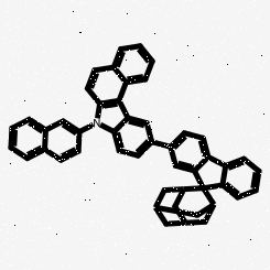 c1ccc2c(c1)-c1ccc(-c3ccc4c(c3)c3c5ccccc5ccc3n4-c3ccc4ccccc4c3)cc1C21C2CC3CC(C2)CC1C3